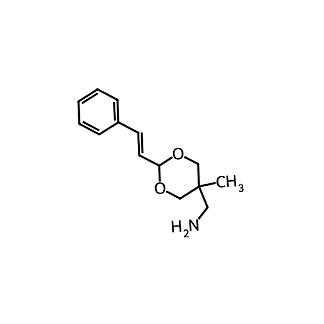 CC1(CN)COC(/C=C/c2ccccc2)OC1